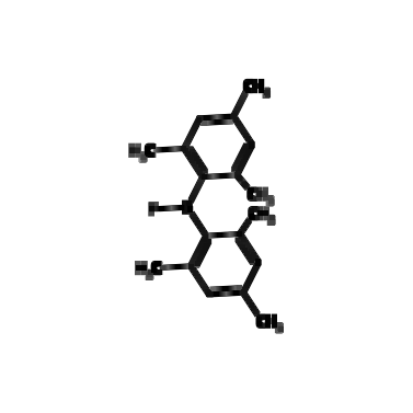 Cc1cc(C)c(B(F)c2c(C)cc(C)cc2C)c(C)c1